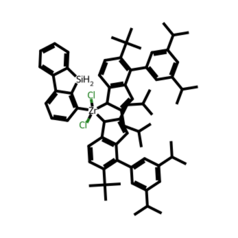 CC(C)CC1=Cc2c(ccc(C(C)(C)C)c2-c2cc(C(C)C)cc(C(C)C)c2)[CH]1[Zr]([Cl])([Cl])([c]1cccc2c1[SiH2]c1ccccc1-2)[CH]1C(CC(C)C)=Cc2c1ccc(C(C)(C)C)c2-c1cc(C(C)C)cc(C(C)C)c1